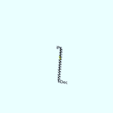 [CH2]CCCCCCCCCCCCCCCCCCCCCCCCCCCSCCCCCCCC(C)C